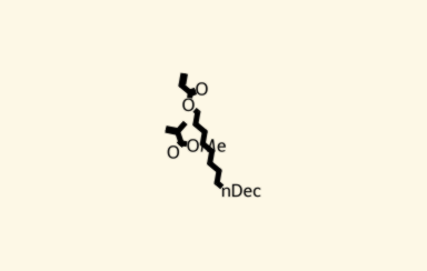 C=C(C)C(=O)OC.C=CC(=O)OCCCCCCCCCCCCCCCCCC